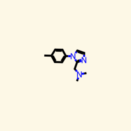 Cc1ccc(-n2ccnc2CN(C)C)cc1